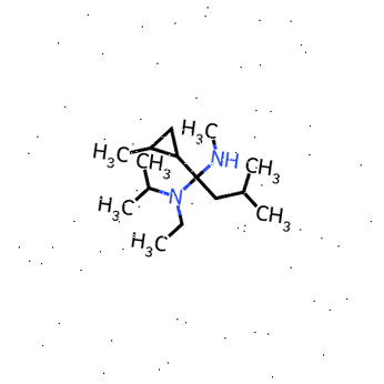 CCN(C(C)C)C(CC(C)C)(NC)C1CC1C